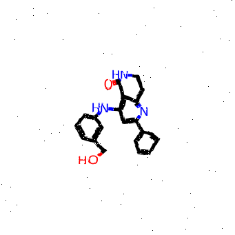 O=C1NCCc2nc(-c3ccccc3)cc(Nc3cccc(CO)c3)c21